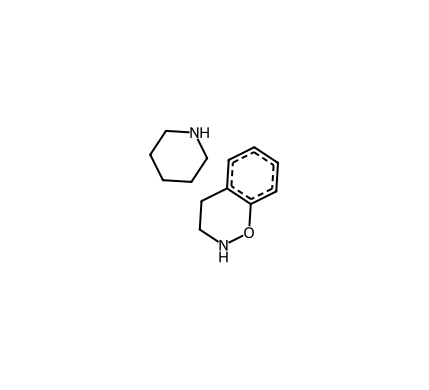 C1CCNCC1.c1ccc2c(c1)CCNO2